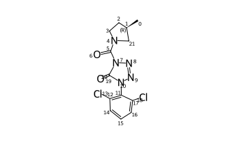 C[C@@H]1CCN(C(=O)n2nnn(-c3c(Cl)cccc3Cl)c2=O)C1